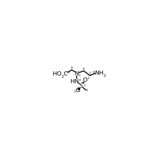 CS(=O)(=O)NN(CCN)CC(=O)O